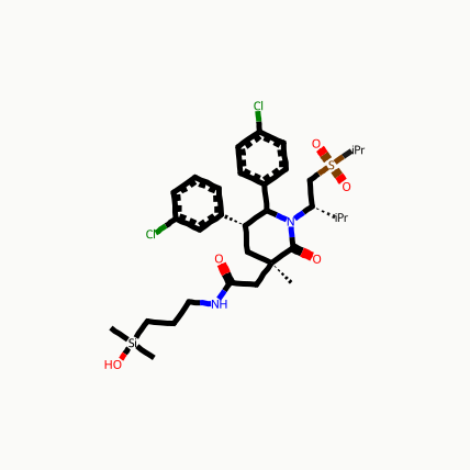 CC(C)[C@@H](CS(=O)(=O)C(C)C)N1C(=O)[C@@](C)(CC(=O)NCCC[Si](C)(C)O)C[C@H](c2cccc(Cl)c2)C1c1ccc(Cl)cc1